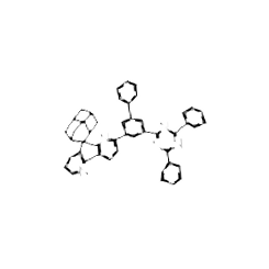 c1ccc(-c2cc(-c3ccc4c(n3)C3(c5cccnc5-4)C4CC5CC(C4)CC3C5)cc(-c3nc(-c4ccccc4)nc(-c4ccccc4)n3)c2)cc1